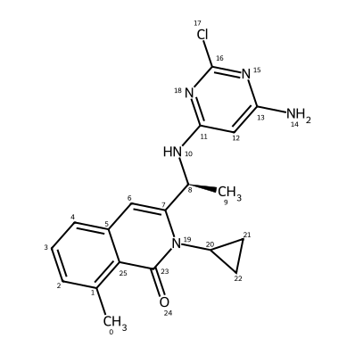 Cc1cccc2cc([C@H](C)Nc3cc(N)nc(Cl)n3)n(C3CC3)c(=O)c12